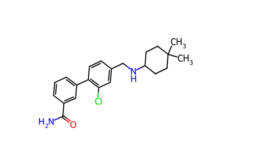 CC1(C)CCC(NCc2ccc(-c3cccc(C(N)=O)c3)c(Cl)c2)CC1